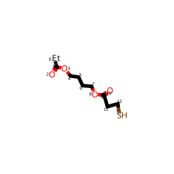 CCC(=O)OCCCCOC(=O)CCS